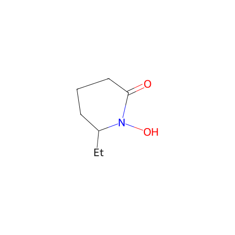 CCC1CCCC(=O)N1O